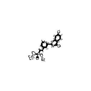 CCOP(=O)(CCc1ccnc(-c2nc(=O)c3ccc(Cl)cc3s2)c1)OCC